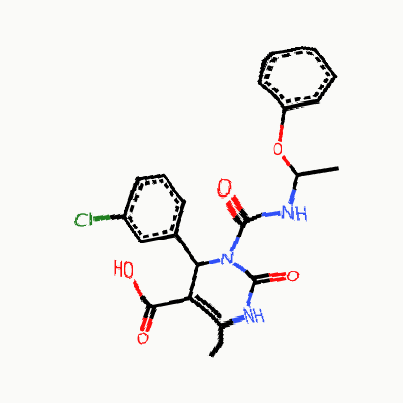 CC1=C(C(=O)O)C(c2cccc(Cl)c2)N(C(=O)NC(C)Oc2ccccc2)C(=O)N1